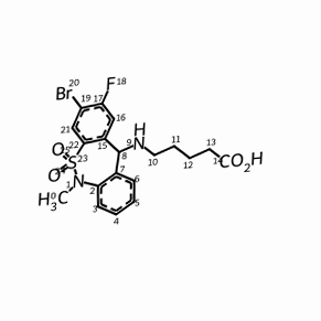 CN1c2ccccc2C(NCCCCC(=O)O)c2cc(F)c(Br)cc2S1(=O)=O